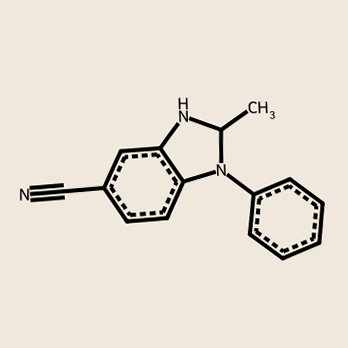 CC1Nc2cc(C#N)ccc2N1c1ccccc1